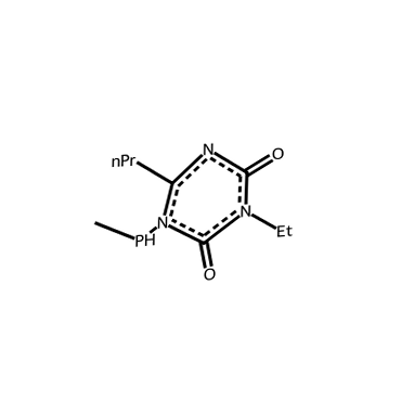 CCCc1nc(=O)n(CC)c(=O)n1PC